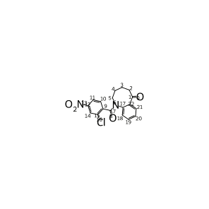 O=C1CCCCN(C(=O)c2ccc([N+](=O)[O-])cc2Cl)c2ccccc21